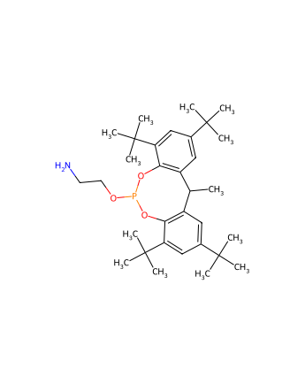 CC1c2cc(C(C)(C)C)cc(C(C)(C)C)c2OP(OCCN)Oc2c1cc(C(C)(C)C)cc2C(C)(C)C